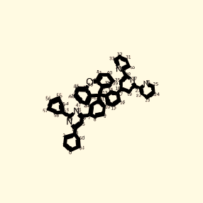 c1ccc(-c2cc(-c3cccc(C4(c5cccc(-c6cc(-c7ccccn7)nc(-c7ccccn7)c6)c5)c5ccccc5Oc5ccccc54)c3)nc(-c3ccccc3)n2)cc1